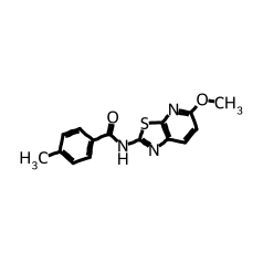 COc1ccc2nc(NC(=O)c3ccc(C)cc3)sc2n1